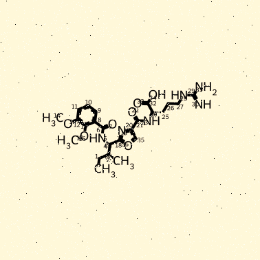 CC[C@H](C)[C@H](NC(=O)c1cccc(OC)c1OC)c1nc(C(=O)N[C@@H](CCCNC(=N)N)C(=O)O)co1